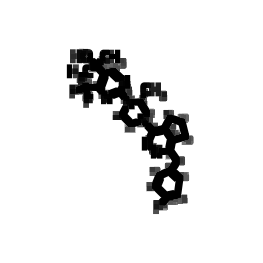 C[C@@H]1CN(c2nnc(Cc3ccc(F)cc3)c3c2CCC3)CCN1c1ncc(C(C)(C)O)c(C(F)(F)F)n1